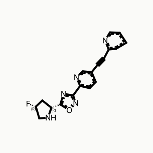 F[C@H]1CN[C@@H](c2nc(-c3ccc(C#Cc4ccccn4)cn3)no2)C1